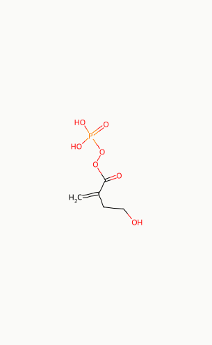 C=C(CCO)C(=O)OOP(=O)(O)O